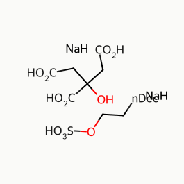 CCCCCCCCCCCCOS(=O)(=O)O.O=C(O)CC(O)(CC(=O)O)C(=O)O.[NaH].[NaH]